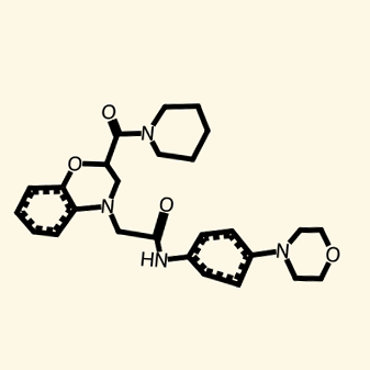 O=C(CN1CC(C(=O)N2CCCCC2)Oc2ccccc21)Nc1ccc(N2CCOCC2)cc1